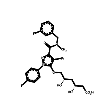 CC(C)c1c(C(=O)N(C)Cc2cccc(F)c2)nn(-c2ccc(F)cc2)c1OC[C@@H](O)C[C@@H](O)CC(=O)O